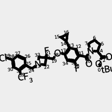 CC(C)(C)OC(=O)C1CCCN1C(=O)c1cc(C2CC2)c(OCC2(F)CN(Cc3ccc(Cl)cc3C(F)(F)F)C2)cc1F